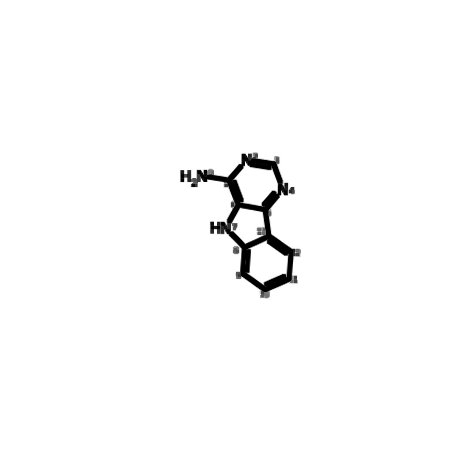 Nc1ncnc2c1[nH]c1ccccc12